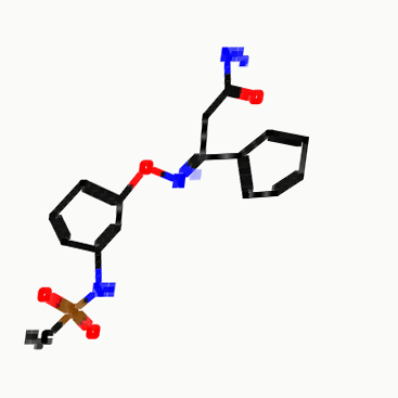 CS(=O)(=O)Nc1cccc(O/N=C(\CC(N)=O)c2ccccc2)c1